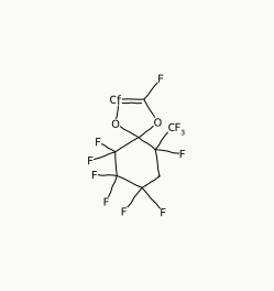 F[C]1=[Cf][O]C2(O1)C(F)(F)C(F)(F)C(F)(F)CC2(F)C(F)(F)F